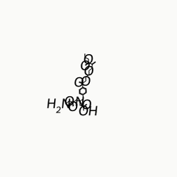 C=C(COCCOC(=O)c1ccc(CN(CC(=O)O)CC(=O)ON)cc1)C(=O)OCC